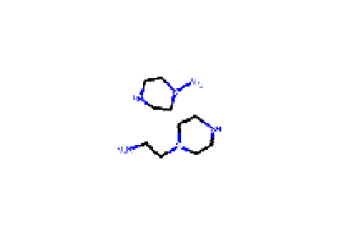 NCCN1CCNCC1.NN1CCNCC1